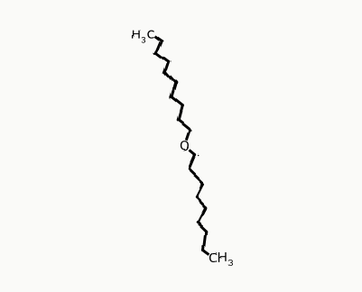 CCCCCCCC[CH]OCCCCCCCCCC